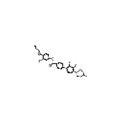 C=CCOc1ccc(OC(=O)c2ccc(-c3ccc(C4CCC(C)CC4)c(F)c3F)cc2)cc1F